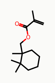 C=C(C)C(=O)OCC1(C)CCCCC1(C)C